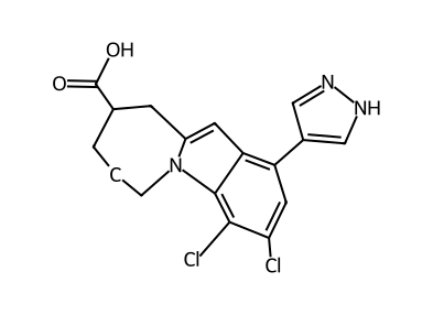 O=C(O)C1CCCn2c(cc3c(-c4cn[nH]c4)cc(Cl)c(Cl)c32)C1